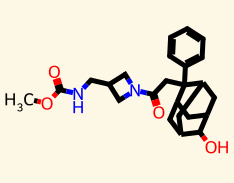 COC(=O)NCC1CN(C(=O)CC2(c3ccccc3)C3CC4CC2CC(C3)C4O)C1